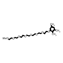 COCCOCCOCCOCCOCCOCCOCCOc1cc(C)cc(C)c1C